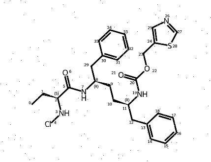 CC[C@H](NCl)C(=O)N[C@H](CC[C@H](Cc1ccccc1)NC(=O)OCc1cncs1)Cc1ccccc1